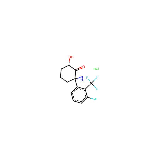 Cl.NC1(c2cccc(F)c2C(F)(F)F)CCCC(O)C1=O